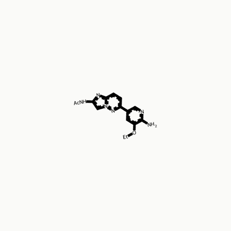 CCOc1cc(-c2ccc3nc(NC(C)=O)cn3n2)cnc1N